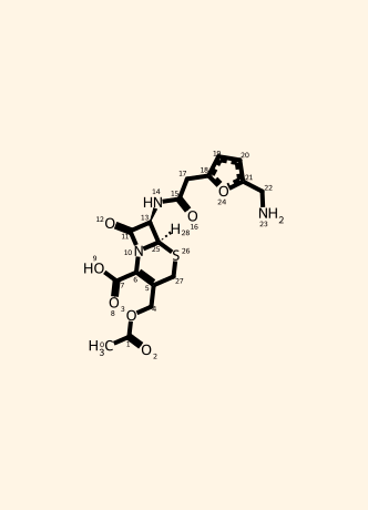 CC(=O)OCC1=C(C(=O)O)N2C(=O)[C@@H](NC(=O)Cc3ccc(CN)o3)[C@H]2SC1